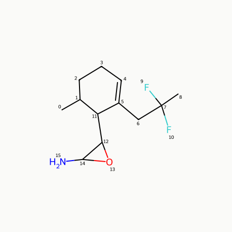 CC1CCC=C(CC(C)(F)F)C1C1OC1N